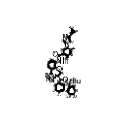 Cc1cc(F)c(C(=O)Nc2cccc3c2OC[C@@H](CO[Si](c2ccccc2)(c2ccccc2)C(C)(C)C)n2nnnc2-3)cc1-n1cnc(C2CC2)c1